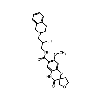 COc1cc2c(cc1C(=O)NCC(O)CN1CCc3ccccc3C1)NC(=O)C1(CCOC1)O2